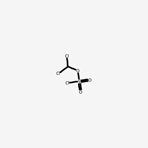 O=S(=O)(Cl)OC(Cl)Cl